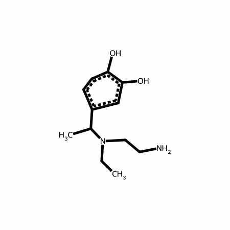 CCN(CCN)C(C)c1ccc(O)c(O)c1